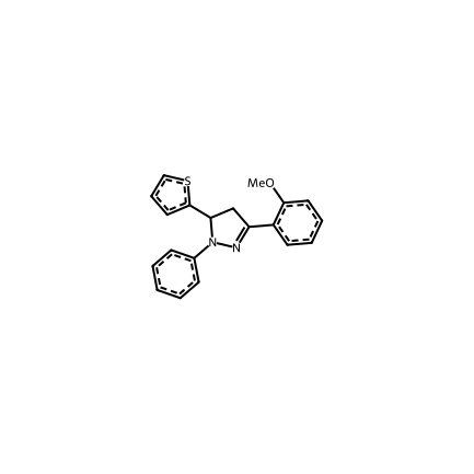 COc1ccccc1C1=NN(c2ccccc2)C(c2cccs2)C1